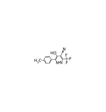 Cc1ccc(-c2nnc(C(F)(F)F)c(C#N)c2O)cc1